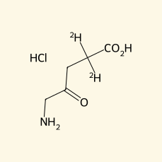 Cl.[2H]C([2H])(CC(=O)CN)C(=O)O